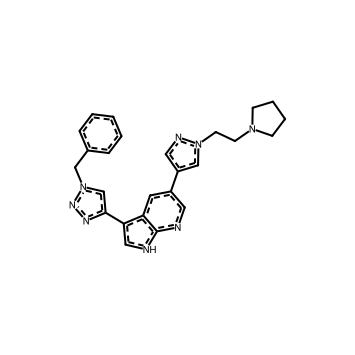 c1ccc(Cn2cc(-c3c[nH]c4ncc(-c5cnn(CCN6CCCC6)c5)cc34)nn2)cc1